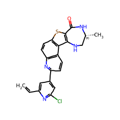 C=Cc1cc(-c2ccc3c(ccc4sc5c(c43)NC[C@@H](C)NC5=O)n2)cc(Cl)n1